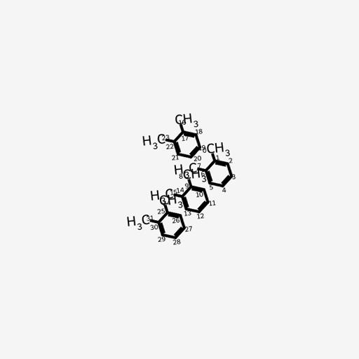 Cc1ccccc1C.Cc1ccccc1C.Cc1ccccc1C.Cc1ccccc1C